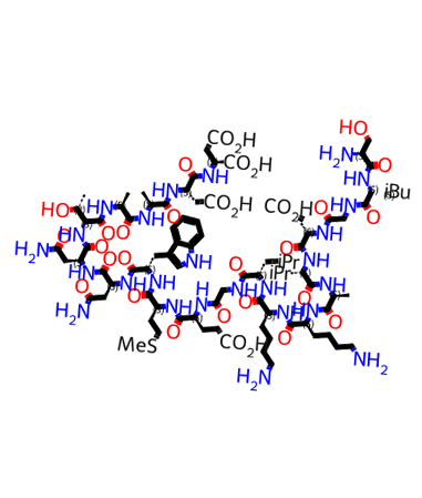 CC[C@H](C)[C@H](NC(=O)[C@@H](N)CO)C(=O)NCC(=O)N[C@@H](CC(=O)O)C(=O)N[C@H](C(=O)N[C@@H](C)C(=O)N[C@@H](CCCCN)C(=O)N[C@@H](CCCCN)C(=O)N[C@@H](CC(C)C)C(=O)NCC(=O)N[C@@H](CCC(=O)O)C(=O)N[C@@H](CCSC)C(=O)N[C@@H](Cc1c[nH]c2ccccc12)C(=O)N[C@@H](CC(N)=O)C(=O)N[C@@H](CC(N)=O)C(=O)N[C@H](C(=O)N[C@@H](C)C(=O)N[C@@H](C)C(=O)N[C@@H](CC(=O)O)C(=O)N[C@@H](CC(=O)O)C(=O)O)[C@@H](C)O)C(C)C